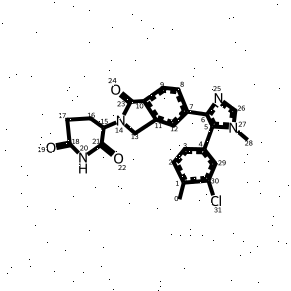 Cc1ccc(-c2c(-c3ccc4c(c3)CN(C3CCC(=O)NC3=O)C4=O)ncn2C)cc1Cl